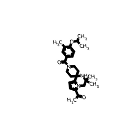 CC(=O)c1ccc2n1CC(C)(C)NC21CCN(C(=O)c2ccc(OC(C)C)c(C)c2)CC1